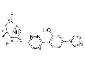 C[C@]12C[C@H](F)C(C/C(=C\c3cnc(-c4ccc(-n5ccnc5)cc4O)nn3)[C@@H]1F)N2